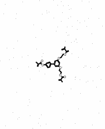 C=C(C)C(=C)OCCOc1cc(OCCOC(=O)C(=C)C)cc(-c2ccc(OC(=O)C(=C)C)cc2)c1